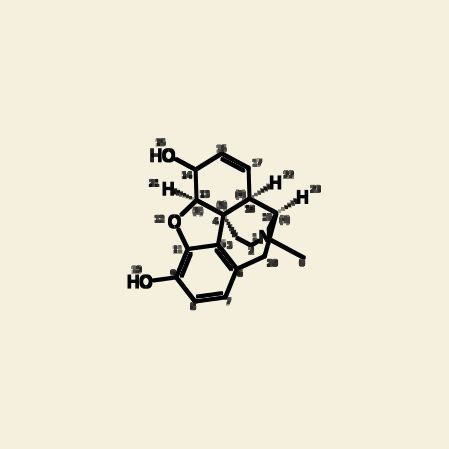 CN1CC[C@]23c4c5ccc(O)c4O[C@H]2C(O)C=C[C@H]3[C@H]1C5